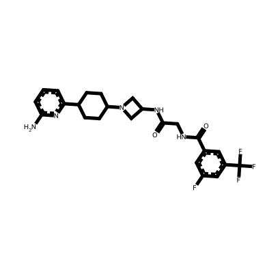 Nc1cccc(C2CCC(N3CC(NC(=O)CNC(=O)c4cc(F)cc(C(F)(F)F)c4)C3)CC2)n1